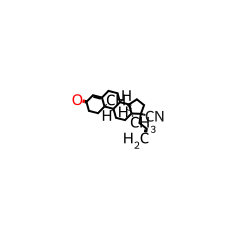 C=CCC1(C#N)CC[C@H]2[C@@H]3CCC4=CC(=O)CC[C@]4(C)[C@@H]3CC[C@@]21C